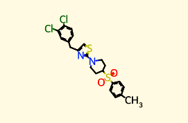 Cc1ccc(S(=O)(=O)C2CCN(c3nc(Cc4ccc(Cl)c(Cl)c4)cs3)CC2)cc1